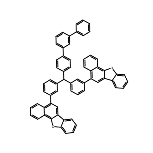 c1ccc(-c2cccc(-c3ccc(C(c4cccc(-c5cc6c7ccccc7oc6c6ccccc56)c4)c4cccc(-c5cc6c7ccccc7oc6c6ccccc56)c4)cc3)c2)cc1